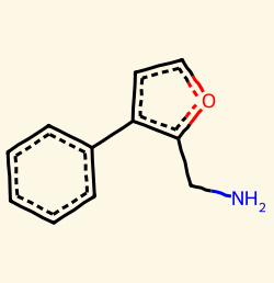 NCc1occc1-c1ccccc1